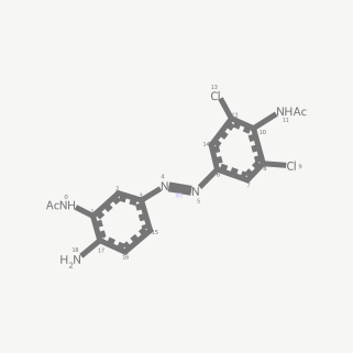 CC(=O)Nc1cc(/N=N/c2cc(Cl)c(NC(C)=O)c(Cl)c2)ccc1N